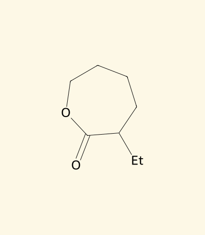 CCC1CCCCOC1=O